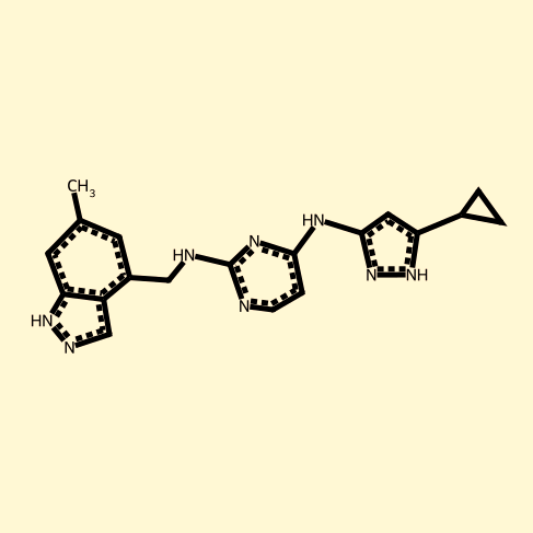 Cc1cc(CNc2nccc(Nc3cc(C4CC4)[nH]n3)n2)c2cn[nH]c2c1